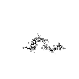 CC(C)CCC[C@@H](C)[C@H]1CC[C@H]2[C@@H]3CC=C4C[C@@H](OC(=O)NC(C)(C)CCOC(C)(C)CCNC(=O)C(C)(C)CCOC(C)(C)CCNC(=O)CCN5C(=O)CC(C(C)C)C5=O)CC[C@]4(C)C3CC[C@]12C